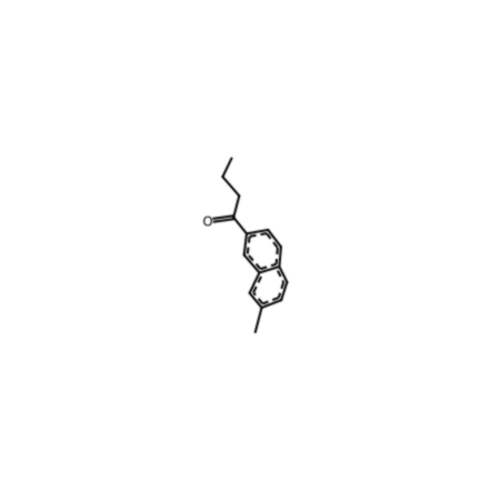 CCCC(=O)c1ccc2ccc(C)cc2c1